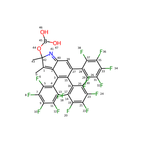 CC1=c2c(-c3c(F)c(F)c(F)c(F)c3F)c(-c3c(F)c(F)c(F)c(F)c3F)c(-c3c(F)c(F)c(F)c(F)c3F)cc2=NC1(C)OB(O)O